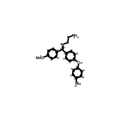 COc1ccc(/C(=N/CCN)c2ccc(Oc3ccc(C(C)(C)C)cc3)cc2)cc1